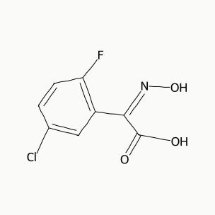 O=C(O)C(=NO)c1cc(Cl)ccc1F